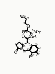 CC(C)[C@H](NC(=O)C[C@@H]1CCC(=O)N1Cc1cccc(F)c1F)C(=O)OCCC#N